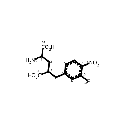 NC(CC(Cc1ccc([N+](=O)[O-])c(F)c1)C(=O)O)C(=O)O